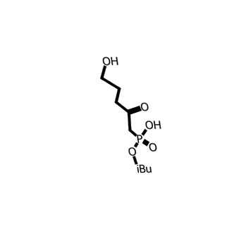 CCC(C)OP(=O)(O)CC(=O)CCCO